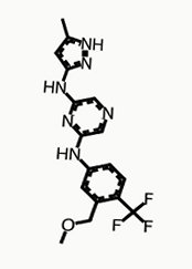 COCc1cc(Nc2cncc(Nc3cc(C)[nH]n3)n2)ccc1C(F)(F)F